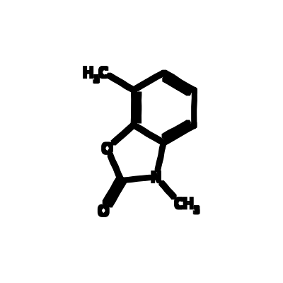 Cc1cccc2c1oc(=O)n2C